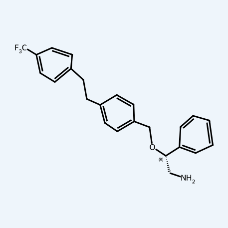 NC[C@H](OCc1ccc(CCc2ccc(C(F)(F)F)cc2)cc1)c1ccccc1